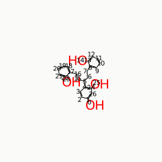 Oc1ccc(C(CCc2ccccc2O)CCc2ccccc2O)c(O)c1